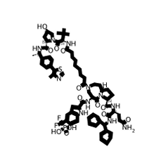 Cc1ncsc1-c1ccc([C@H](C)NC(=O)[C@@H]2C[C@@H](O)CN2C(=O)[C@@H](NC(=O)CCCCCCCC(=O)N2CC[C@H]3CC[C@@H](C(=O)N[C@@H](CCC(N)=O)C(=O)NC(c4ccccc4)c4ccccc4)N3C(=O)[C@@H](NC(=O)c3cc4cc(C(F)(F)P(=O)(O)O)ccc4[nH]3)C2)C(C)(C)C)cc1